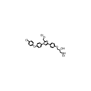 CCNC[C@@H](O)COc1ccc(-c2cn(-c3ccc(Oc4ccc(Cl)cc4)cc3)c(COCC)n2)cc1